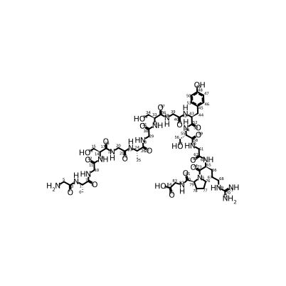 C[C@H](NC(=O)CN)C(=O)NCC(=O)N[C@@H](CO)C(=O)NCC(=O)N[C@@H](C)C(=O)NCC(=O)N[C@@H](CO)C(=O)NCC(=O)N[C@@H](Cc1ccc(O)cc1)C(=O)N[C@@H](CO)C(=O)NCC(=O)N[C@@H](CCCNC(=N)N)C(=O)N1CCC[C@H]1C(=O)NCC(=O)O